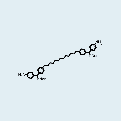 CCCCCCCCCC(c1ccc(N)cc1)c1ccc(CCCCCCCCCCCCCc2ccc(C(CCCCCCCCC)c3ccc(N)cc3)cc2)cc1